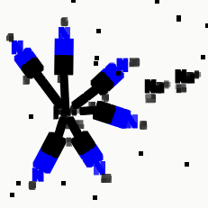 N#[C][Fe-4]([C]#N)([C]#N)([C]#N)([C]#N)[C]#N.[Na+].[Na+]